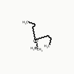 CCCCC/C=C\C/C=C\CCCCCCCCC1(CCCCCCCC/C=C\C/C=C\CCCCC)OC[C@H](CCCN(C)C)O1